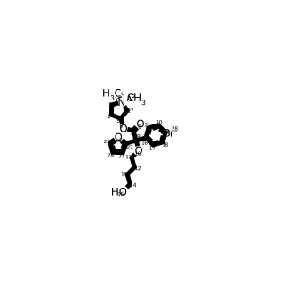 C[N+]1(C)CCC(OC(=O)C(OCCCCO)(c2ccccc2)c2ccco2)C1.[Br-]